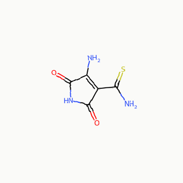 NC(=S)C1=C(N)C(=O)NC1=O